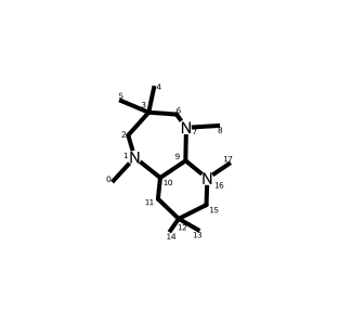 CN1CC(C)(C)CN(C)C2C1CC(C)(C)CN2C